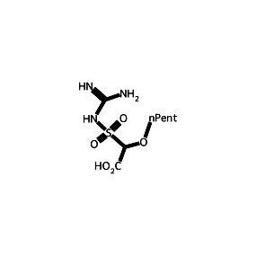 CCCCCOC(C(=O)O)S(=O)(=O)NC(=N)N